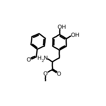 COC(=O)C(N)Cc1ccc(O)c(O)c1.O=Cc1ccccc1